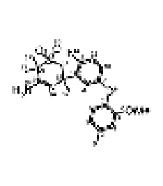 COc1cc(C)ccc1Oc1ccc(F)c(C2(C)CS(=O)(=O)C(C)(C)C(N)=N2)c1